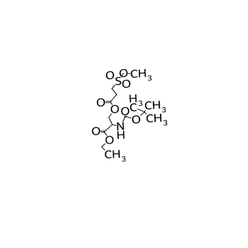 CCOC(=O)C(COC(=O)CCS(=O)(=O)OC)NC(=O)OC(C)(C)C